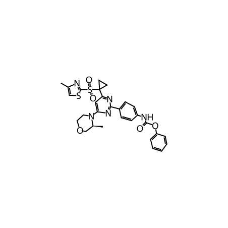 Cc1csc(S(=O)(=O)C2(c3cc(N4CCOC[C@@H]4C)nc(-c4ccc(NC(=O)Oc5ccccc5)cc4)n3)CC2)n1